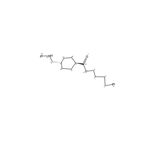 CC(C)CCCCOC(=O)[C@H]1CC[C@H](CNC(C)C)CC1